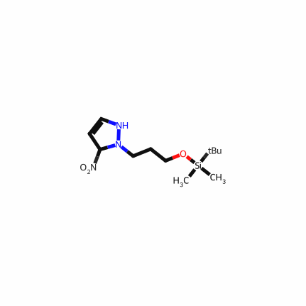 CC(C)(C)[Si](C)(C)OCCCN1NC=CC1[N+](=O)[O-]